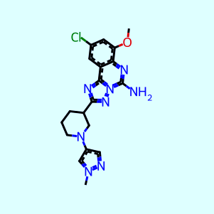 COc1cc(Cl)cc2c1nc(N)n1nc(C3CCCN(c4cnn(C)c4)C3)nc21